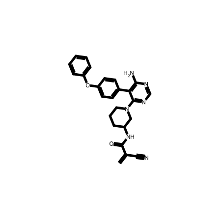 C=C(C#N)C(=O)NC1CCCN(c2ncnc(N)c2-c2ccc(Oc3ccccc3)cc2)C1